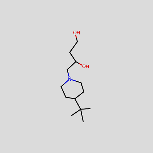 CC(C)(C)C1CCN(CC(O)CCO)CC1